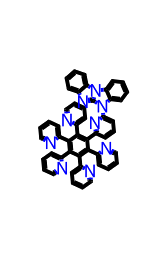 c1ccc(-c2c(-c3ccccn3)c(-c3ccccn3)c(-c3cccc(-n4c5ccccc5n5c6ccccc6nc45)n3)c(-c3ccccn3)c2-c2ccccn2)nc1